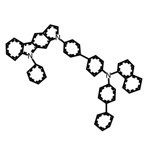 c1ccc(-c2ccc(N(c3ccc(-c4ccc(-n5ccc6cc7c8ccccc8n(-c8ccccc8)c7cc65)cc4)cc3)c3cccc4ccccc34)cc2)cc1